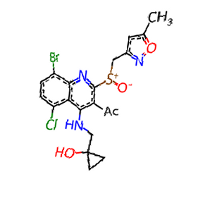 CC(=O)c1c([S+]([O-])Cc2cc(C)on2)nc2c(Br)ccc(Cl)c2c1NCC1(O)CC1